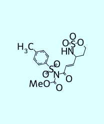 COC(=O)N(C(=O)/C=C/C1CCOS(=O)(=O)N1)S(=O)(=O)c1ccc(C)cc1